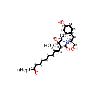 CCCCCCCC(=O)CCCCCC/C=C/[C@H](C(=O)N[C@H](CO)Cc1ccc(O)cc1)[C@@](O)(CC(=O)O)C(=O)O